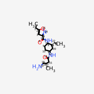 CCc1cc(C(=O)N[C@H]2CC[C@H](NC(=O)C[C@H](C)CN)C[C@H]2CC)no1